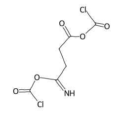 N=C(CCC(=O)OC(=O)Cl)OC(=O)Cl